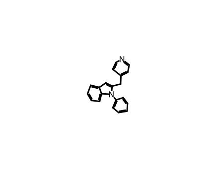 c1ccc(-n2c(Cc3ccncc3)cc3ccccc32)cc1